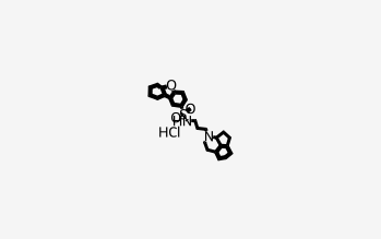 Cl.O=S(=O)(NCCCN1CCc2cccc3c2C1CC3)c1ccc2oc3ccccc3c2c1